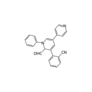 N#Cc1ccccc1C1=CC(c2ccncc2)=CN(c2ccccc2)C1C=O